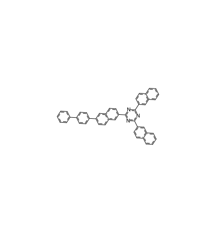 c1ccc(-c2ccc(-c3ccc4cc(-c5nc(-c6ccc7ccccc7c6)nc(-c6ccc7ccccc7c6)n5)ccc4c3)cc2)cc1